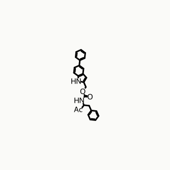 CC(=O)C(Cc1ccccc1)NC(=O)OCc1cc2cc(-c3ccccc3)ccc2[nH]1